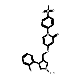 CS(=O)(=O)c1ccc(-n2ccc(OCC3CN(C(=O)O)CC3c3ccccc3Cl)cc2=O)cc1